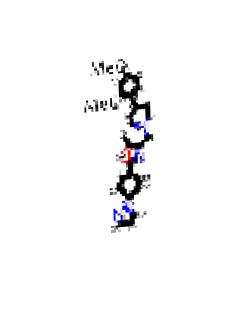 COc1ccc(C2CCN(Cc3nc(-c4ccc(-n5cccn5)cc4)oc3C)CC2)c(OC)c1